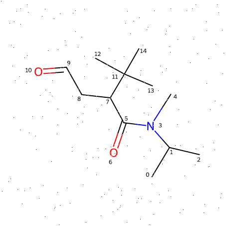 CC(C)N(C)C(=O)C(CC=O)C(C)(C)C